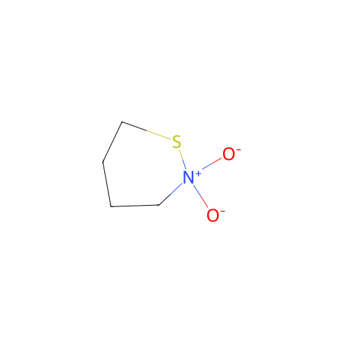 [O-][N+]1([O-])CCCCS1